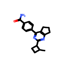 CC1CCC1c1nc2c(c(-c3ccc(C(N)=O)cc3)n1)CCC2